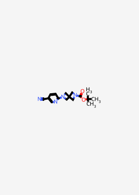 CC(C)(C)OC(=O)N1CC2(C1)CN(c1ccc(C#N)cn1)C2